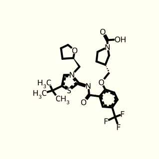 CC(C)(C)c1cn(C[C@H]2CCCO2)/c(=N/C(=O)c2cc(C(F)(F)F)ccc2OC[C@@H]2CCN(C(=O)O)C2)s1